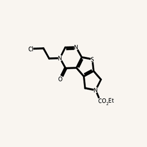 CCOC(=O)N1Cc2sc3ncn(CCCl)c(=O)c3c2C1